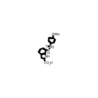 COc1ccc(S(=O)(=O)Nc2cccc3c2NC(C(=O)O)C3)cc1